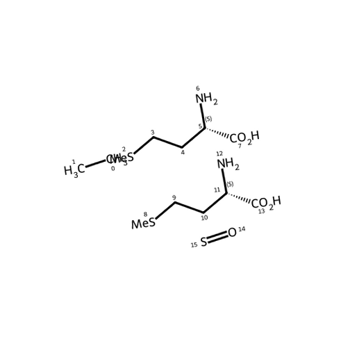 CC.CSCC[C@H](N)C(=O)O.CSCC[C@H](N)C(=O)O.O=S